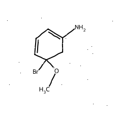 COC1(Br)C=CC=C(N)C1